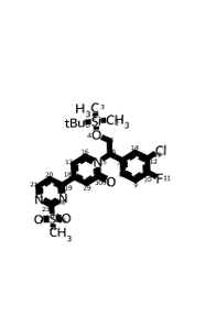 CC(C)(C)[Si](C)(C)OCC(c1ccc(F)c(Cl)c1)n1ccc(-c2ccnc(S(C)(=O)=O)n2)cc1=O